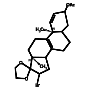 CC(=O)OC1C=C[C@]2(C)C3=C(CCC2C1)C1CC(Br)C2(OCCO2)[C@@]1(C)CC3